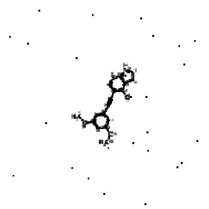 COc1cc(C#Cc2cnc3[nH]ccc3c2Cl)cc(OC)c1